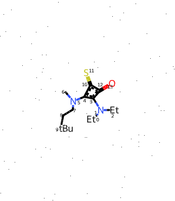 CCN(CC)c1c(N(C)CCC(C)(C)C)c(=S)c1=O